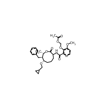 COc1ccnc(C(=O)NC2CCC[C@H](OCC3CC3)[C@@H](Cc3ccccc3)[C@H](C)OC2=O)c1OCOC(C)=O